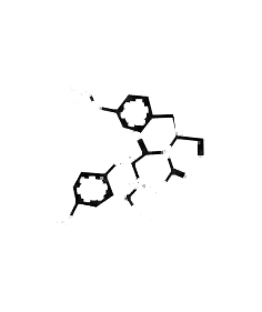 COc1ccc(C[C@@H]([C]=O)N(C(C)=O)C(=O)[C@@H](Cc2ccc(O)cc2)NC(C)=O)cc1